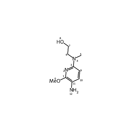 COc1nc(N(C)CCO)ccc1N